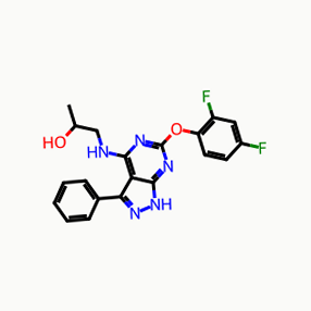 CC(O)CNc1nc(Oc2ccc(F)cc2F)nc2[nH]nc(-c3ccccc3)c12